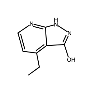 CCc1ccnc2[nH]nc(O)c12